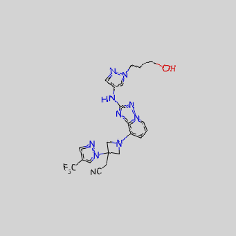 N#CCC1(n2cc(C(F)(F)F)cn2)CN(c2cccn3nc(Nc4cnn(CCCO)c4)nc23)C1